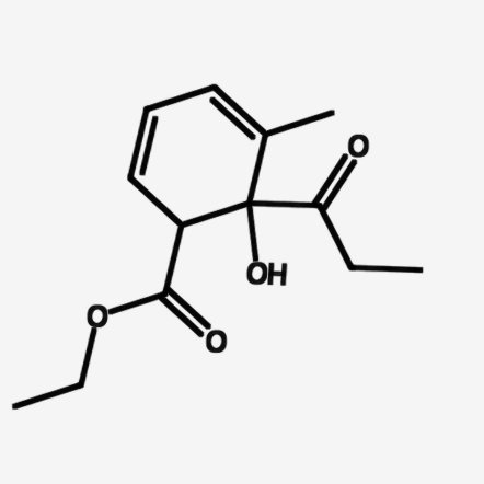 CCOC(=O)C1C=CC=C(C)C1(O)C(=O)CC